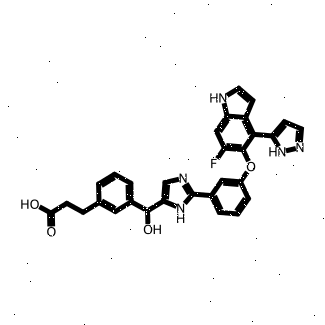 O=C(O)CCc1cccc(C(O)c2cnc(-c3cccc(Oc4c(F)cc5[nH]ccc5c4-c4ccn[nH]4)c3)[nH]2)c1